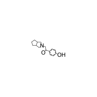 O=C(CN1CC2CCCC2C1)c1ccc(O)cc1